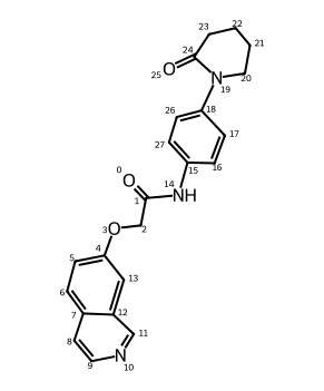 O=C(COc1ccc2ccncc2c1)Nc1ccc(N2CCCCC2=O)cc1